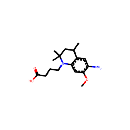 COc1cc2c(cc1N)C(C)CC(C)(C)N2CCCC(=O)O